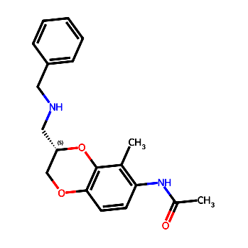 CC(=O)Nc1ccc2c(c1C)O[C@@H](CNCc1ccccc1)CO2